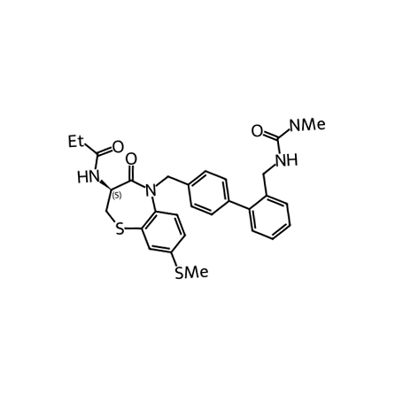 CCC(=O)N[C@@H]1CSc2cc(SC)ccc2N(Cc2ccc(-c3ccccc3CNC(=O)NC)cc2)C1=O